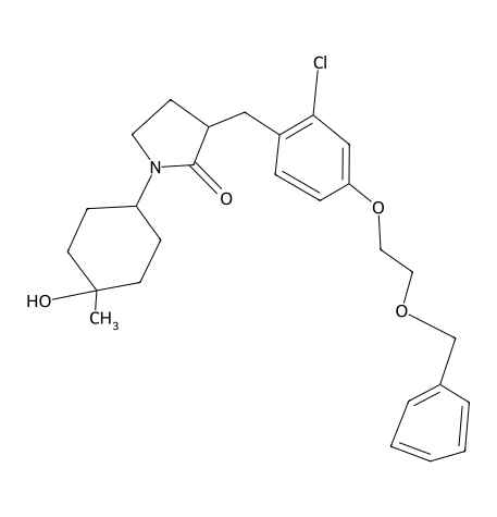 CC1(O)CCC(N2CCC(Cc3ccc(OCCOCc4ccccc4)cc3Cl)C2=O)CC1